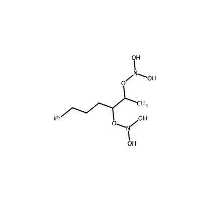 CC(C)CCCC(ON(O)O)C(C)ON(O)O